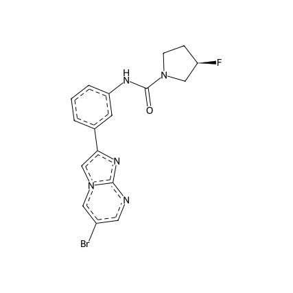 O=C(Nc1cccc(-c2cn3cc(Br)cnc3n2)c1)N1CC[C@@H](F)C1